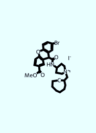 COC(=O)c1ccc2c(c1)C(C(=O)NC1CC[N+](C)(CC3CCCCCCC3)CC1)c1cc(Br)ccc1O2.[I-]